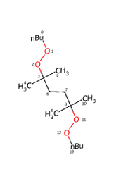 CCCCOOC(C)(C)CCC(C)(C)OOCCCC